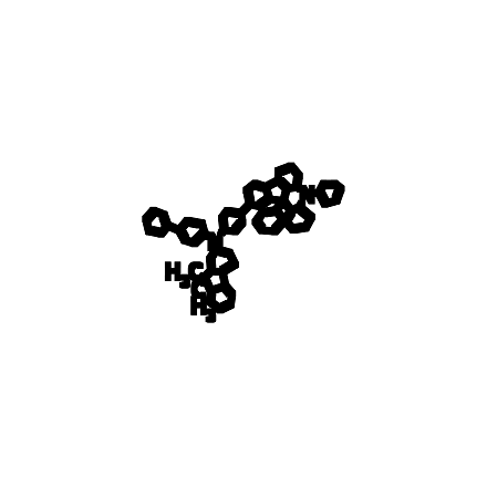 CC1(C)c2ccccc2-c2ccc(N(c3ccc(-c4ccccc4)cc3)c3ccc(-c4ccc5c(c4)C4(c6ccccc6)c6ccccc6N(c6ccccc6)c6cccc-5c64)cc3)cc21